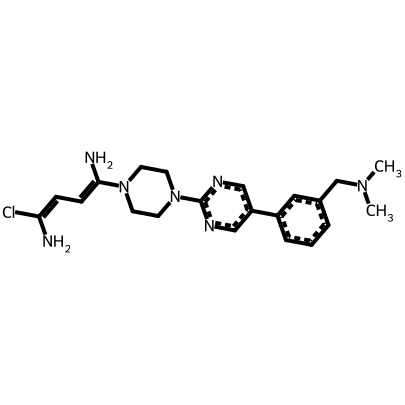 CN(C)Cc1cccc(-c2cnc(N3CCN(/C(N)=C/C=C(\N)Cl)CC3)nc2)c1